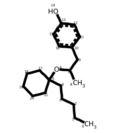 CCCCCC1(OC(C)Cc2ccc(O)cc2)CCCCC1